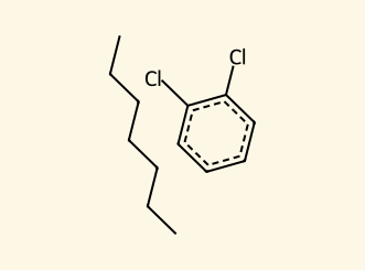 CCCCCCC.Clc1ccccc1Cl